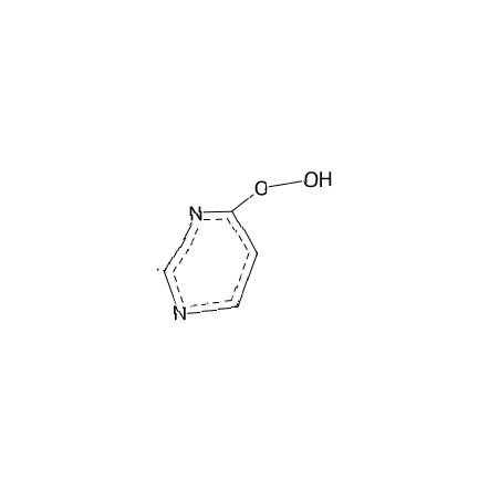 OOc1ccn[c]n1